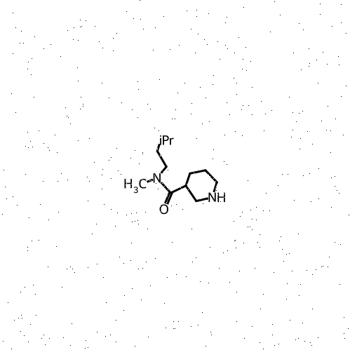 CC(C)CCN(C)C(=O)C1CCCNC1